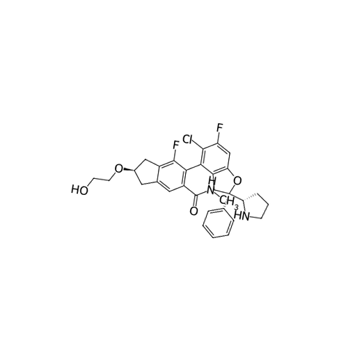 CNC(=O)c1cc2c(c(F)c1-c1c(Cl)c(F)cc3c1C[C@](c1ccccc1)([C@@H]1CCCN1)O3)C[C@H](OCCO)C2